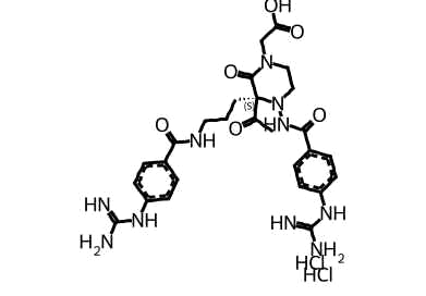 CC(=O)[C@@]1(CCCNC(=O)c2ccc(NC(=N)N)cc2)C(=O)N(CC(=O)O)CCN1NC(=O)c1ccc(NC(=N)N)cc1.Cl.Cl